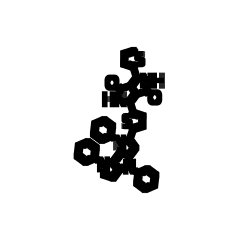 O=C1NC(c2ccc(-c3cc4c(c5c(ccn5-c5ccccc5)n4-c4ccccc4)n3-c3ccccc3)s2)=C2C(=O)NC(c3cccs3)=C12